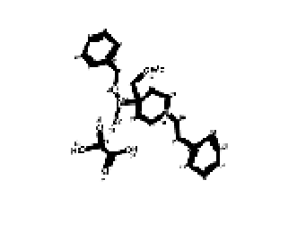 COCC1(N(OCc2ccccc2)C(C)=O)CCN(CCc2ccccc2)CC1.O=C(O)C(=O)O